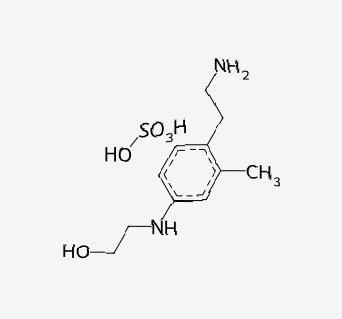 Cc1cc(NCCO)ccc1CCN.O=S(=O)(O)O